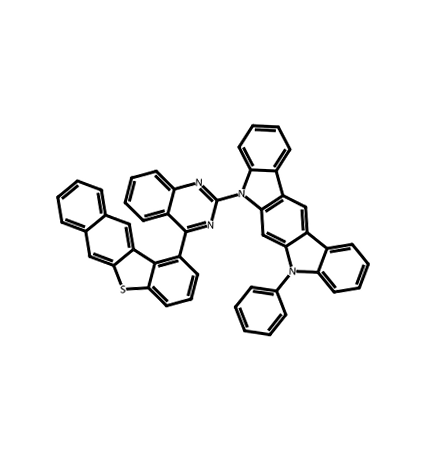 c1ccc(-n2c3ccccc3c3cc4c5ccccc5n(-c5nc(-c6cccc7sc8cc9ccccc9cc8c67)c6ccccc6n5)c4cc32)cc1